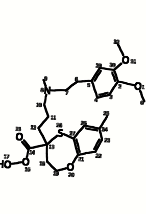 COc1ccc(CCN(C)CCCC2(C(=O)OO)CCOc3ccc(C)cc3S2)cc1OC